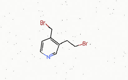 BrCCc1cnccc1CBr